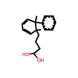 CC1(CCCC(O)O)C=CC=CC1(C)c1ccccc1